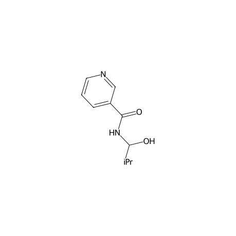 CC(C)C(O)NC(=O)c1cccnc1